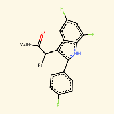 CCC(C(=O)NC)c1c(-c2ccc(F)cc2)[nH]c2c(F)cc(F)cc12